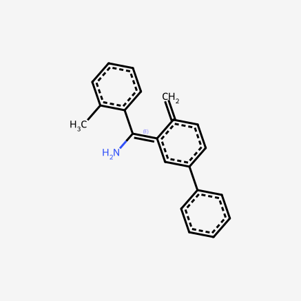 C=c1ccc(-c2ccccc2)c/c1=C(\N)c1ccccc1C